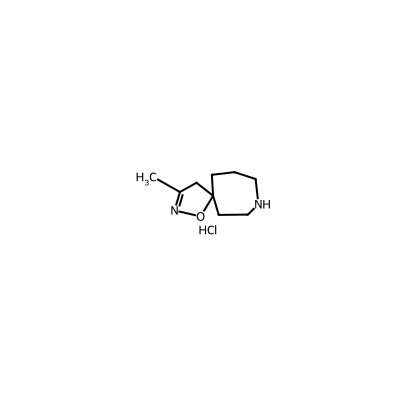 CC1=NOC2(CCCNCC2)C1.Cl